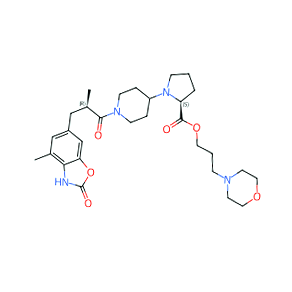 Cc1cc(C[C@@H](C)C(=O)N2CCC(N3CCC[C@H]3C(=O)OCCCN3CCOCC3)CC2)cc2oc(=O)[nH]c12